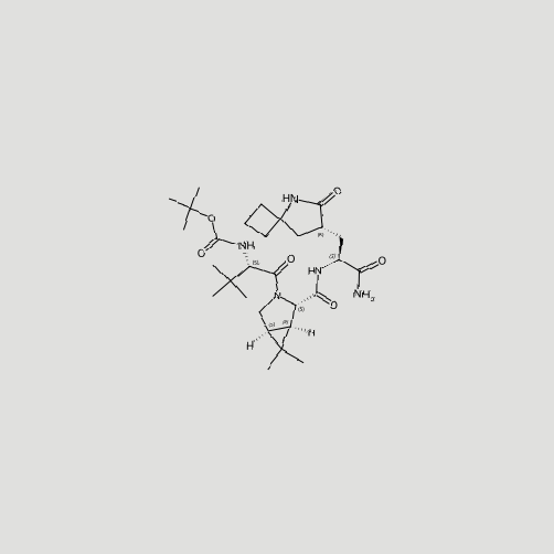 CC(C)(C)OC(=O)N[C@H](C(=O)N1C[C@H]2[C@@H]([C@H]1C(=O)N[C@@H](C[C@@H]1CC3(CCC3)NC1=O)C(N)=O)C2(C)C)C(C)(C)C